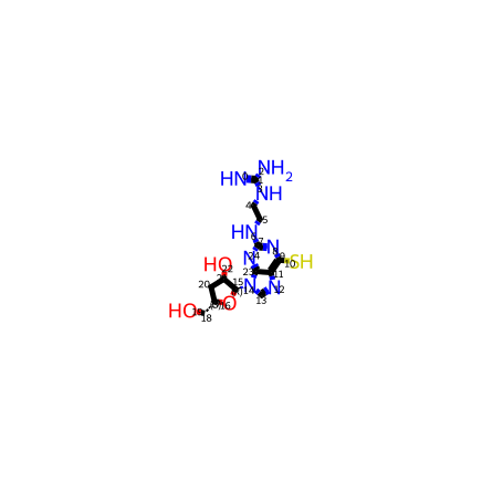 N=C(N)NCCNc1nc(S)c2ncn([C@@H]3O[C@H](CO)CC3O)c2n1